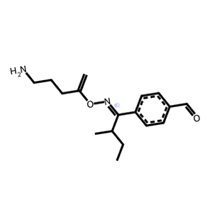 C=C(CCCN)O/N=C(/c1ccc(C=O)cc1)C(C)CC